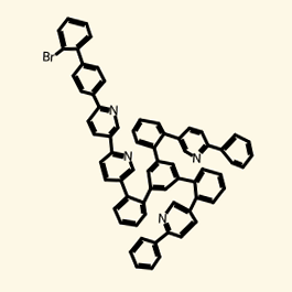 Brc1ccccc1-c1ccc(-c2ccc(-c3ccc(-c4ccccc4-c4cc(-c5ccccc5-c5ccc(-c6ccccc6)nc5)cc(-c5ccccc5-c5ccc(-c6ccccc6)nc5)c4)cn3)cn2)cc1